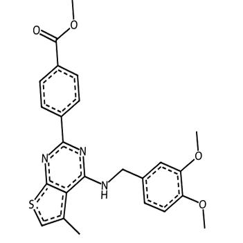 COC(=O)c1ccc(-c2nc(NCc3ccc(OC)c(OC)c3)c3c(C)csc3n2)cc1